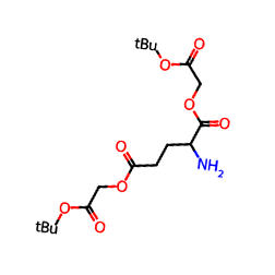 CC(C)(C)OC(=O)COC(=O)CCC(N)C(=O)OCC(=O)OC(C)(C)C